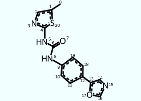 Cc1cnc(NC(=O)Nc2ccc(-c3cnco3)cc2)s1